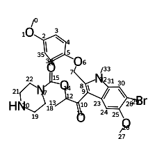 COc1ccc(OCc2c(C(=O)C(C)OC(=O)N3CCNCC3)c3cc(OC)c(Br)cc3n2C)cc1